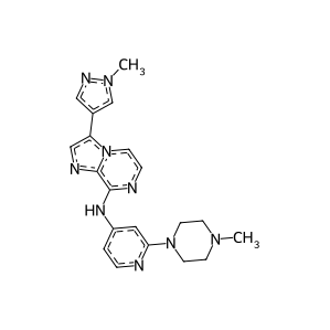 CN1CCN(c2cc(Nc3nccn4c(-c5cnn(C)c5)cnc34)ccn2)CC1